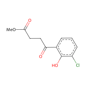 COC(=O)CCC(=O)c1cccc(Cl)c1O